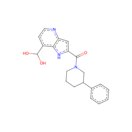 O=C(c1cc2nccc(C(O)O)c2[nH]1)N1CCCC(c2ccccc2)C1